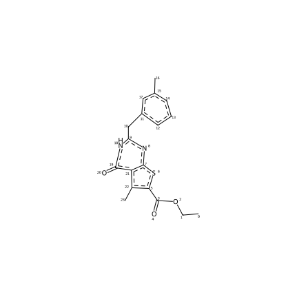 CCOC(=O)c1sc2nc(Cc3cccc(C)c3)[nH]c(=O)c2c1C